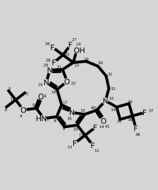 CC(C)(C)OC(=O)Nc1cc(C(F)(F)F)c2nc1-c1nnc(o1)C(O)(C(F)(F)F)CCCCN(C1CC(F)(F)C1)C2=O